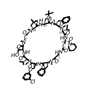 CC(C)C[C@H]1C(=O)N[C@@H](COC(C)(C)C)C(=O)N(C)[C@@H](Cc2ccccc2)C(=O)N(C)[C@@H](C(C)C)C(=O)N[C@H](C(=O)N2CCCCC2)CC(=O)N[C@H](C)C(=O)N(C)[C@@H](Cc2ccccc2)C(=O)NC(COc2cccc(Cl)c2)C(=O)N(C)[C@@H](C(C)C)C(=O)NC([C@@H](C)O)C(=O)N(C)CC(=O)N1C